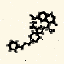 COc1ccc2ncc(C)c([C@H](O)CCC3(C(=O)NO)CCN(CCSc4ccccn4)CC3)c2c1